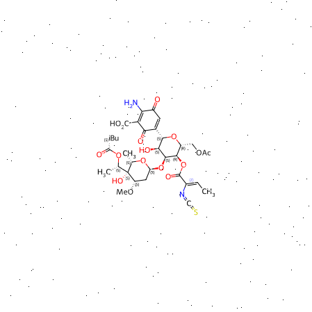 C/C=C(\N=C=S)C(=O)O[C@H]1[C@@H](O[C@H]2C[C@H](OC)[C@@](O)([C@H](C)OC(=O)[C@@H](C)CC)[C@H](C)O2)[C@@H](O)[C@H](C2=CC(=O)C(N)=C(C(=O)O)C2=O)O[C@@H]1COC(C)=O